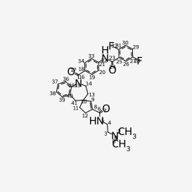 CN(C)CCNC(=O)C1=CC2(CC1)CCN(C(=O)c1ccc(NC(=O)c3cc(F)ccc3F)cc1)c1ccccc1C2